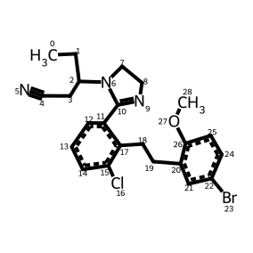 CCC(CC#N)N1CCN=C1c1cccc(Cl)c1CCc1cc(Br)ccc1OC